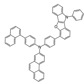 c1ccc(-n2c3ccccc3c3oc4c(-c5ccc(N(c6ccc(-c7cccc8ccccc78)cc6)c6ccc7c(ccc8ccccc87)c6)cc5)cccc4c32)cc1